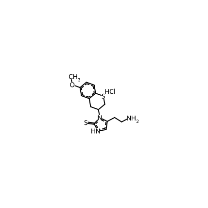 COc1ccc2c(c1)CC(n1c(CCN)c[nH]c1=S)CS2.Cl